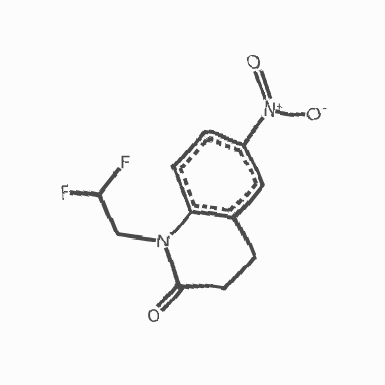 O=C1CCc2cc([N+](=O)[O-])ccc2N1CC(F)F